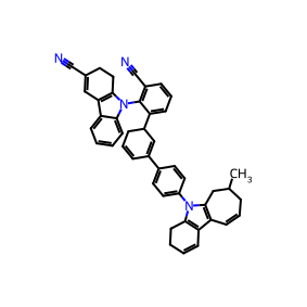 CC1CC=Cc2c3c(n(-c4ccc(C5=CC(c6cccc(C#N)c6-n6c7c(c8ccccc86)C=C(C#N)CC7)CC=C5)cc4)c2C1)CCC=C3